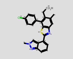 Cc1cc2nc(-c3cccc4nn(C)cc34)sc2c(-c2ccc(Cl)cc2)c1CC(=O)O